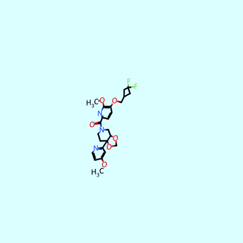 COc1ccnc(C23CCN(C(=O)c4ccc(OCC5CC(F)(F)C5)c(OC)n4)CC2OCO3)c1